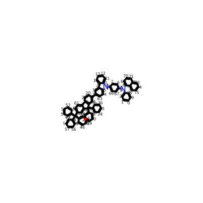 c1ccc(N(c2ccc(-n3c4ccccc4c4cc(-c5ccc6c(c5)C(c5ccccc5)(c5ccccc5)c5cc(C(c7ccccc7)(c7ccccc7)c7ccccc7)ccc5-6)ccc43)cc2)c2cccc3ccccc23)cc1